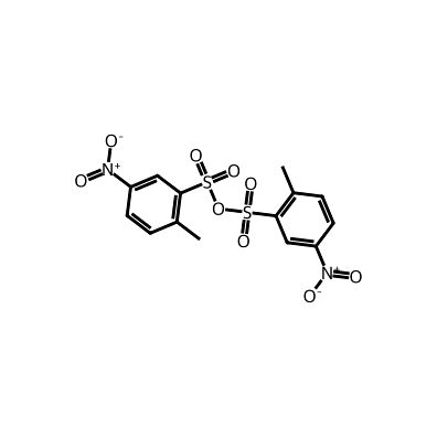 Cc1ccc([N+](=O)[O-])cc1S(=O)(=O)OS(=O)(=O)c1cc([N+](=O)[O-])ccc1C